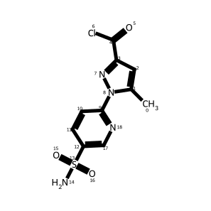 Cc1cc(C(=O)Cl)nn1-c1ccc(S(N)(=O)=O)cn1